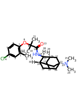 Cc1cc(Cl)ccc1OC(C)(C)C(=O)N[C@H]1[C@@H]2CC3C[C@H]1C[C@](N(C)C)(C3)C2